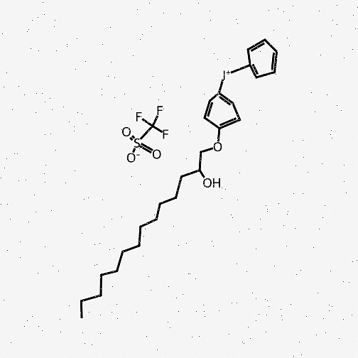 CCCCCCCCCCCCC(O)COc1ccc([I+]c2ccccc2)cc1.O=S(=O)([O-])C(F)(F)F